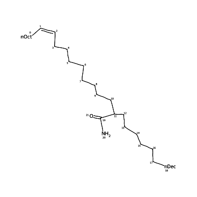 CCCCCCCC/C=C\CCCCCCCCC(CCCCCCCCCCCCCCCC)C(N)=O